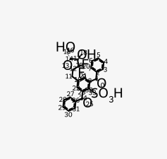 O=C(c1ccccc1)c1cc(CC2O[C@H](CO)[C@@H](O)C2(F)F)cc(C(=O)c2ccccc2)c1S(=O)(=O)O